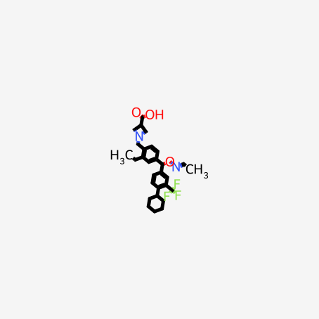 CC=NOC(c1ccc(CN2CC(C(=O)O)C2)c(CC)c1)c1ccc(C2CCCCC2)c(C(F)(F)F)c1